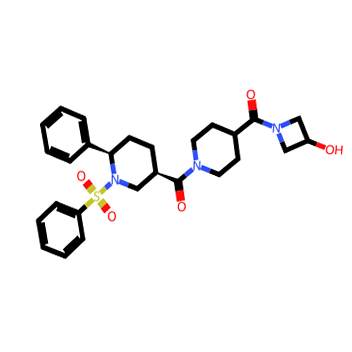 O=C(C1CCN(C(=O)[C@@H]2CC[C@H](c3ccccc3)N(S(=O)(=O)c3ccccc3)C2)CC1)N1CC(O)C1